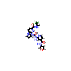 CC(NC(=O)c1ccc2c(n1)N(C(=O)Nc1cc(C(=O)NC3CCOC3)ccn1)[C@H]1CCN2C1)C(F)(F)F